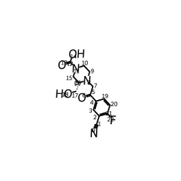 N#Cc1cc(C(=O)CN2CCN(C(=O)O)C[C@H]2CO)ccc1F